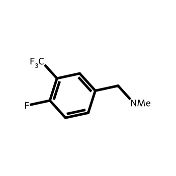 CNCc1ccc(F)c(C(F)(F)F)c1